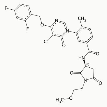 COCCN1C(=O)C[C@H](NC(=O)c2ccc(C)c(-n3cnc(OCc4ccc(F)cc4F)c(Cl)c3=O)c2)C1=O